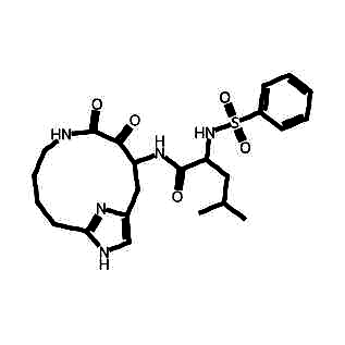 CC(C)CC(NS(=O)(=O)c1ccccc1)C(=O)NC1Cc2c[nH]c(n2)CCCCNC(=O)C1=O